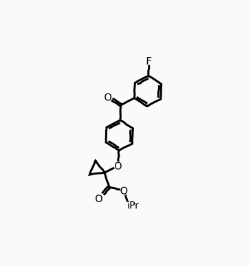 CC(C)OC(=O)C1(Oc2ccc(C(=O)c3cccc(F)c3)cc2)CC1